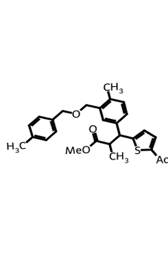 COC(=O)C(C)C(c1ccc(C)c(COCc2ccc(C)cc2)c1)c1ccc(C(C)=O)s1